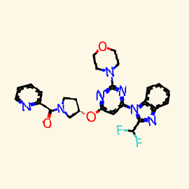 O=C(c1ccccn1)N1CC[C@H](Oc2cc(-n3c(C(F)F)nc4ccccc43)nc(N3CCOCC3)n2)C1